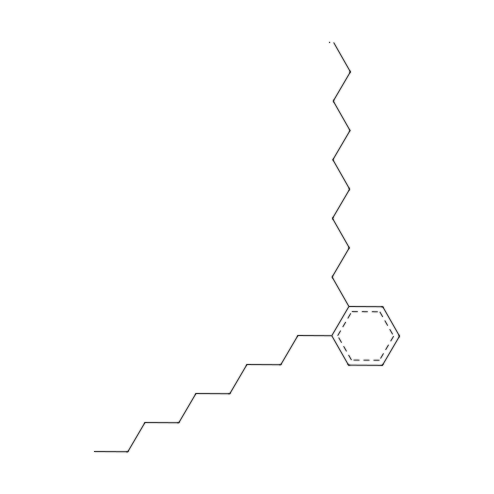 [CH2]CCCCCCCCc1ccccc1CCCCCCCCC